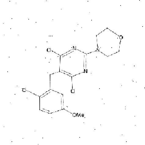 COc1ccc(Cl)c(Cc2c(Cl)nc(N3CCOCC3)nc2Cl)c1